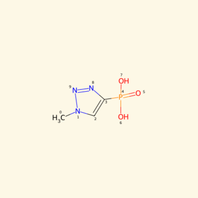 Cn1cc(P(=O)(O)O)nn1